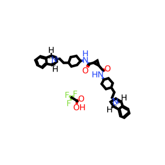 O=C(NC1CCC(CCN2[C@@H]3CC[C@H]2c2ccccc23)CC1)C1CC1C(=O)NC1CCC(CCN2[C@@H]3CC[C@H]2c2ccccc23)CC1.O=C(O)C(F)(F)F